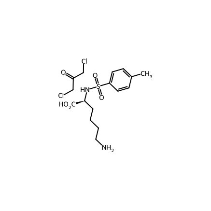 Cc1ccc(S(=O)(=O)N[C@@H](CCCCN)C(=O)O)cc1.O=C(CCl)CCl